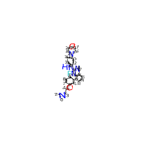 CN(C)CCOc1ccc(F)c(-c2cccc3cnc(Nc4ccc(N5CCOCC5)cc4)nc23)c1